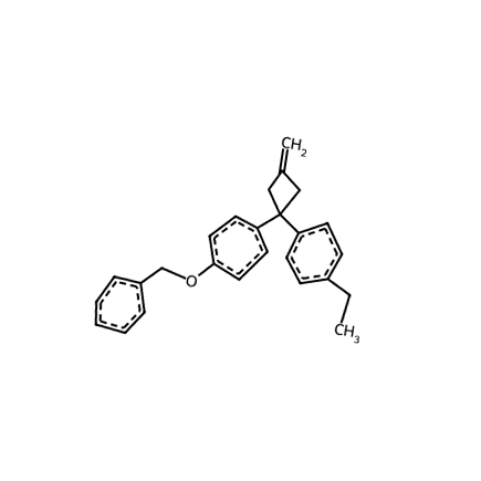 C=C1CC(c2ccc(CC)cc2)(c2ccc(OCc3ccccc3)cc2)C1